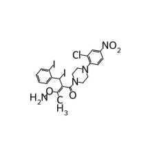 C/C(ON)=C(\C(=O)N1CCN(c2ccc([N+](=O)[O-])cc2Cl)CC1)C(I)c1ccccc1I